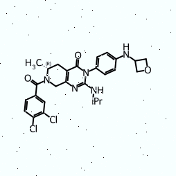 CC(C)Nc1nc2c(c(=O)n1-c1ccc(NC3COC3)cc1)C[C@@H](C)N(C(=O)c1ccc(Cl)c(Cl)c1)C2